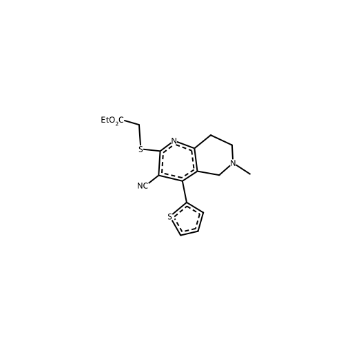 CCOC(=O)CSc1nc2c(c(-c3cccs3)c1C#N)CN(C)CC2